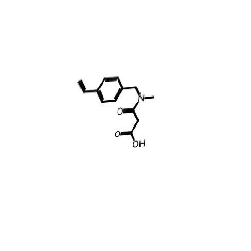 C=Cc1ccc(CN(C)C(=O)CC(=O)O)cc1